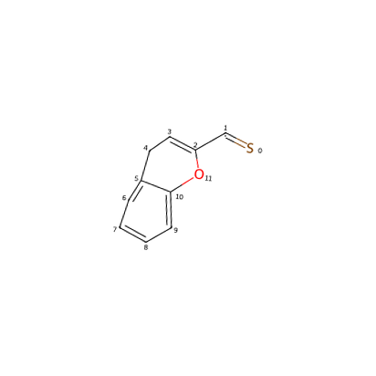 S=[C]C1=CCc2ccccc2O1